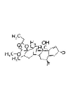 CCC(=O)O[C@]1(C(=O)OC)[C@H](C)CC2C3C[C@H](F)C4=CC(=O)C=C[C@]4(C)[C@@]3(F)[C@@H](O)C[C@@]21C